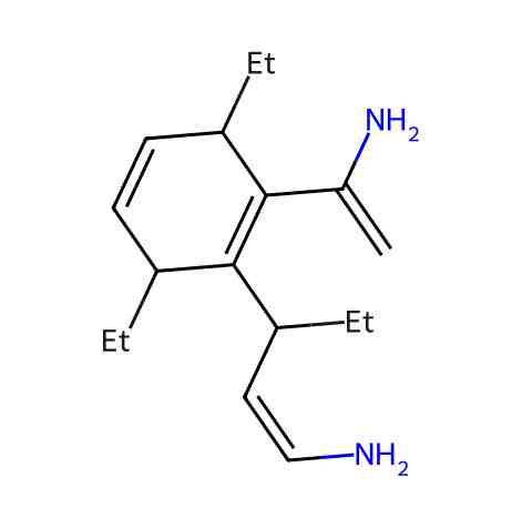 C=C(N)C1=C(C(/C=C\N)CC)C(CC)C=CC1CC